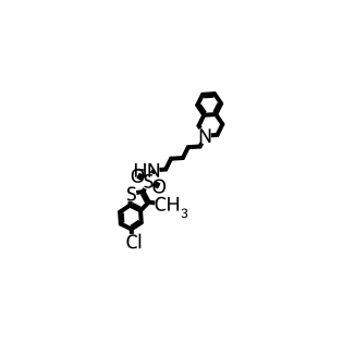 Cc1c(S(=O)(=O)NCCCCCN2CCc3ccccc3C2)sc2ccc(Cl)cc12